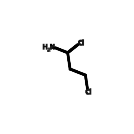 NC(Cl)CCCl